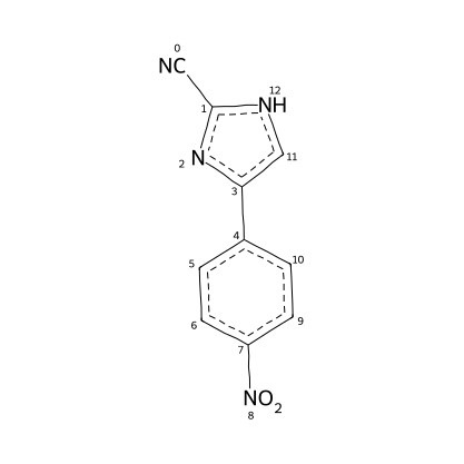 N#Cc1nc(-c2ccc([N+](=O)[O-])cc2)c[nH]1